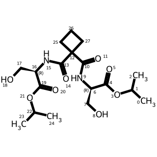 CC(C)OC(=O)[C@@H](CO)NC(=O)C1(C(=O)N[C@H](CO)C(=O)OC(C)C)CCC1